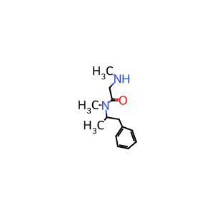 CNCC(=O)N(C)C(C)Cc1ccccc1